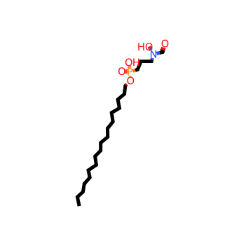 CCCCCCCCCCCCCCCCCCOP(=O)(O)CCCN(O)C=O